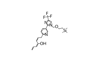 C=C/C=C(O)\C=C/Cc1ccc(-c2nc(C(F)(F)F)cn2COCC[Si](C)(C)C)cn1